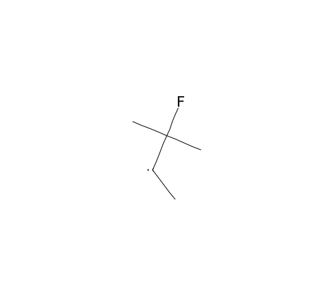 C[CH]C(C)(C)F